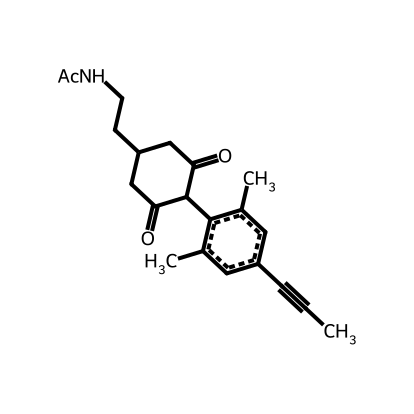 CC#Cc1cc(C)c(C2C(=O)CC(CCNC(C)=O)CC2=O)c(C)c1